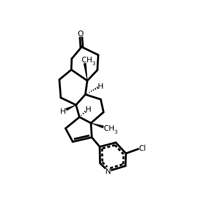 C[C@]12CCC(=O)CC1CC[C@@H]1[C@@H]2CC[C@]2(C)C(c3cncc(Cl)c3)=CC[C@@H]12